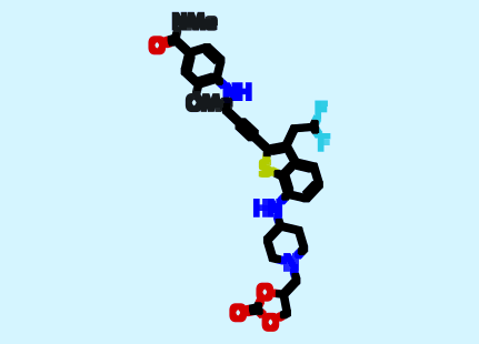 CNC(=O)c1ccc(NCC#Cc2sc3c(NC4CCN(CC5COC(=O)O5)CC4)cccc3c2CC(F)F)c(OC)c1